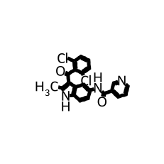 Cc1[nH]c2ccc(NC(=O)c3cccnc3)cc2c1C(=O)c1c(Cl)cccc1Cl